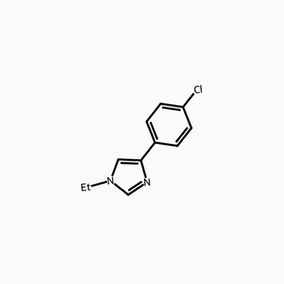 CCn1cnc(-c2ccc(Cl)cc2)c1